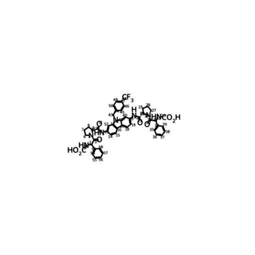 O=C(O)NC(C(=O)N1CCC[C@H]1C(=O)Nc1ccc2c3ccc(NC(=O)[C@@H]4CCCN4C(=O)C(NC(=O)O)c4ccccc4)cc3n(Cc3ccc(C(F)(F)F)cc3)c2c1)c1ccccc1